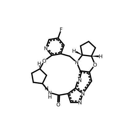 O=C1N[C@H]2CC[C@H](C2)Oc2ncc(F)cc2CN2c3nc4c1cnn4cc3O[C@H]1CCC[C@H]12